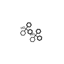 OC(c1ccccc1)(c1ccccc1)C1CCCCC1.OC(c1ccccc1)(c1ccccc1)C1CCCCC1